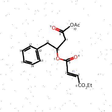 CCOC(=O)/C=C/C(=O)OC(CC(=O)OC(C)=O)Cc1ccccc1